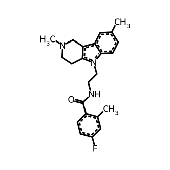 Cc1ccc2c(c1)c1c(n2CCNC(=O)c2ccc(F)cc2C)CCN(C)C1